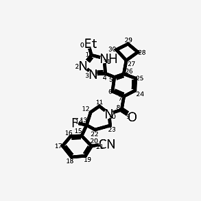 CCc1nnc(-c2cc(C(=O)N3CCC(F)(c4ccccc4C#N)CC3)ccc2C2CCC2)[nH]1